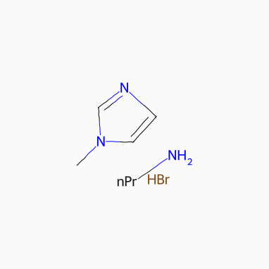 Br.CCCN.Cn1ccnc1